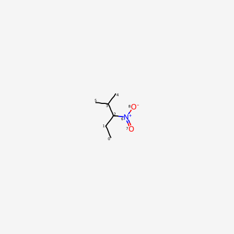 CCC(C(C)C)[N+](=O)[O-]